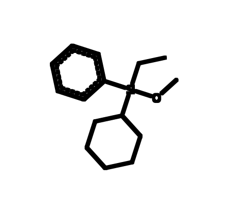 CC[Si](OC)(c1ccccc1)C1CCCCC1